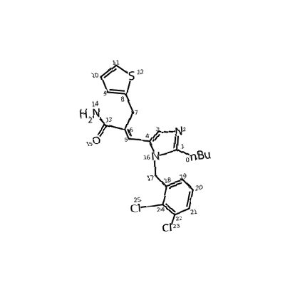 CCCCc1ncc(/C=C(\Cc2cccs2)C(N)=O)n1Cc1cccc(Cl)c1Cl